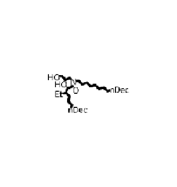 CCCCCCCCCCCCCCCCCCN(CC(O)CO)C(=O)CC(CC)CCCCCCCCCCCCC